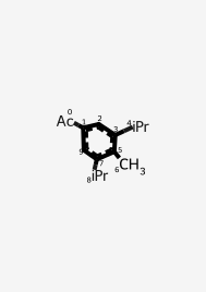 CC(=O)c1cc(C(C)C)c(C)c(C(C)C)c1